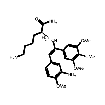 COc1ccc(/C=C(/C#N)c2cc(OC)c(OC)c(OC)c2)cc1N.NCCCC[C@H](N)C(N)=O